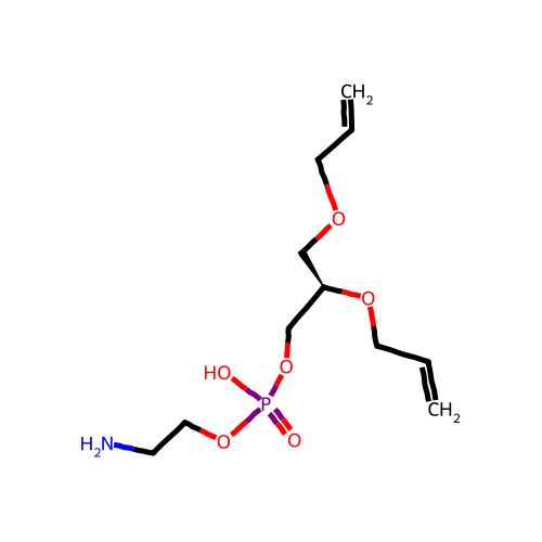 C=CCOC[C@H](COP(=O)(O)OCCN)OCC=C